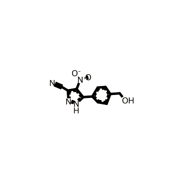 N#Cc1n[nH]c(-c2ccc(CO)cc2)c1[N+](=O)[O-]